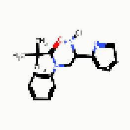 CNC(CN(C(=O)C(C)(C)C)c1ccccc1)c1ccccn1